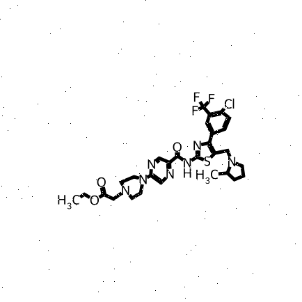 CCOC(=O)CN1CCN(c2cnc(C(=O)Nc3nc(-c4ccc(Cl)c(C(F)(F)F)c4)c(CN4CCCC4C)s3)cn2)CC1